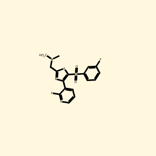 CN(Cc1nc(-c2cccnc2F)c(S(=O)(=O)c2cccc(F)c2)s1)C(=O)O